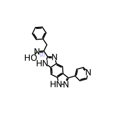 O/N=C(/Cc1ccccc1)c1nc2cc3c(-c4ccncc4)n[nH]c3cc2[nH]1